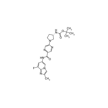 Cc1cn2cc(NC(=O)c3cnc(N4CC[C@H](NC(=O)OC(C)(C)C)C4)cn3)cc(F)c2n1